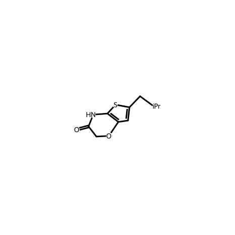 CC(C)Cc1cc2c(s1)NC(=O)CO2